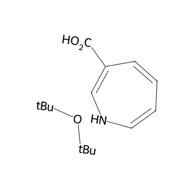 CC(C)(C)OC(C)(C)C.O=C(O)C1=CNC=CC=C1